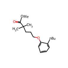 CCCCc1ccccc1OCCCC(C)(C)C(=O)OC